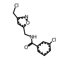 O=C(NCc1cc(CCl)no1)c1cccc(Cl)c1